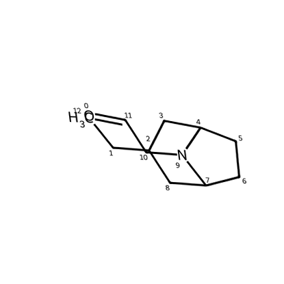 CCC1CC2CCC(C1)N2CC=O